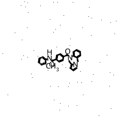 Cc1ccccc1NC(=O)c1ccc(C(=O)N2Cc3cccn3Cc3ccccc32)cc1